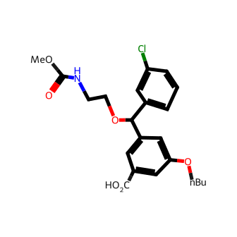 CCCCOc1cc(C(=O)O)cc(C(OCCNC(=O)OC)c2cccc(Cl)c2)c1